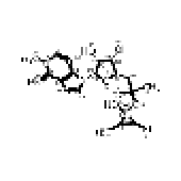 CCC1C(C)[PH]1(O)OC(C)(CC)C[C@H]1O[C@H](n2cnc3c(=N)n(C)cnc32)[C@H](O)[C@@H]1O